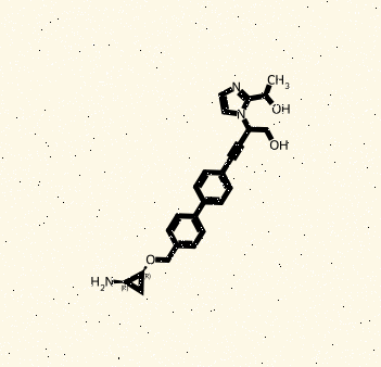 CC(O)c1nccn1C(C#Cc1ccc(-c2ccc(CO[C@@H]3C[C@H]3N)cc2)cc1)CO